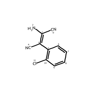 N#C/C(N)=C(/C#N)c1ccc[c]c1Cl